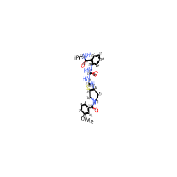 COc1cccc(C(=O)N2CCc3nc(NC(=O)Nc4ccccc4C(=O)NC(C)C)sc3C2)c1